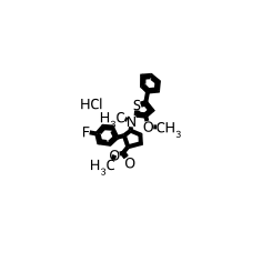 COC(=O)C1CCC(N(C)c2sc(-c3ccccc3)cc2OC)C1c1ccc(F)cc1.Cl